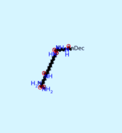 CCCCCCCCCCCC(=O)NCCCCC(N)C(=O)ONCCCCCCCCCCCC(=O)NCCCCC(N)C(=O)ON